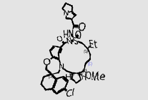 CC[C@H]1C/C=C/[C@H](OC)[C@@H]2CCC[C@H]2CN2C[C@@]3(CCCc4cc(Cl)ccc43)COc3ccc(cc32)C(=O)N=S(=O)(NC(=O)c2cc3n(c2)CCC3)C1